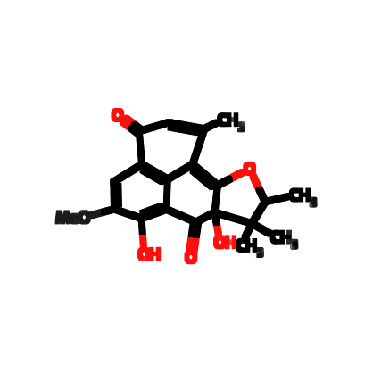 COc1cc2c3c(c1O)C(=O)C1(O)C(=C3C(C)=CC2=O)OC(C)C1(C)C